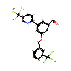 O=Cc1cc(OCc2cccc(C(F)(F)F)c2)cc(-c2ccc(C(F)(F)F)cn2)c1